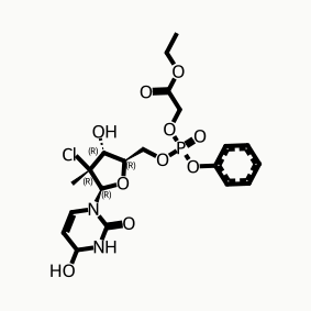 CCOC(=O)COP(=O)(OC[C@H]1O[C@@H](N2C=CC(O)NC2=O)[C@](C)(Cl)[C@@H]1O)Oc1ccccc1